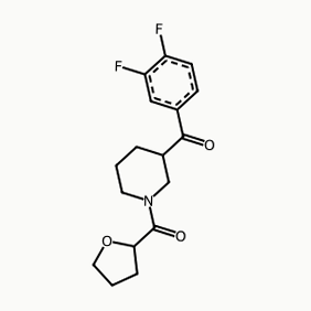 O=C(c1ccc(F)c(F)c1)C1CCCN(C(=O)C2CCCO2)C1